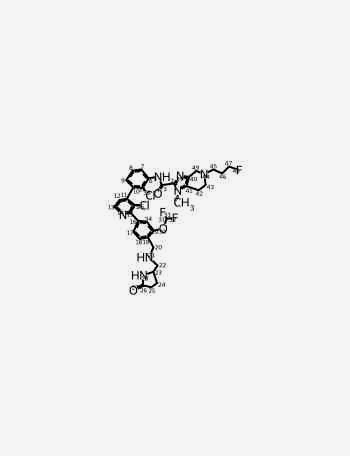 Cn1c(C(=O)Nc2cccc(-c3ccnc(-c4ccc(CNCC5CCC(=O)N5)c(OC(F)F)c4)c3Cl)c2Cl)nc2c1CCN(CCCF)C2